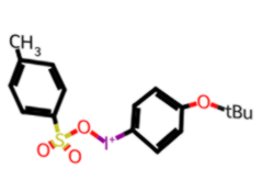 Cc1ccc(S(=O)(=O)O[I+]c2ccc(OC(C)(C)C)cc2)cc1